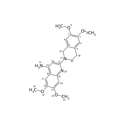 COc1cc2c(cc1OC)CN(c1cc(N)c3cc(OC)c(OC)cc3n1)CC2